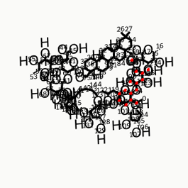 CC[C@H](C)[C@H](C[C@H](O)CC(=O)O[C@H]1[C@@H](O)[C@@H](C)O[C@@H](OC(=O)[C@]23CCC(C)(C)C[C@H]2C2=CC[C@@H]4[C@@]5(C)CC[C@H](O[C@@H]6O[C@H](C(=O)O)[C@@H](O)[C@H](O[C@@H]7O[C@@H](C)[C@H](O)[C@@H](O)[C@H]7O)[C@H]6O[C@@H]6O[C@H](CO)[C@H](O)[C@H](O)[C@H]6O)[C@@](C)(C=O)[C@@H]5CC[C@@]4(C)[C@]2(C)C[C@H]3O)[C@@H]1O[C@@H]1O[C@@H](C)[C@H](O[C@@H]2OC[C@@H](O)[C@H](O[C@@H]3OC[C@H](CO)[C@H]3O)[C@H]2O)[C@@H](O)[C@H]1O)OC(=O)C[C@@H](O)C[C@@H]1O[C@@H]2O[C@@H](CO)[C@H](O)[C@H]2O[C@@H]2O[C@@H](C)[C@H](O)[C@@H](CC[C@@H]1C)[C@H]2O